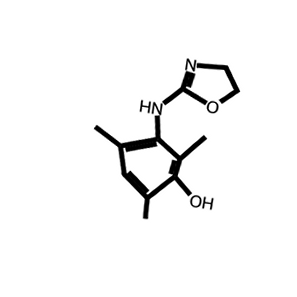 Cc1cc(C)c(NC2=NCCO2)c(C)c1O